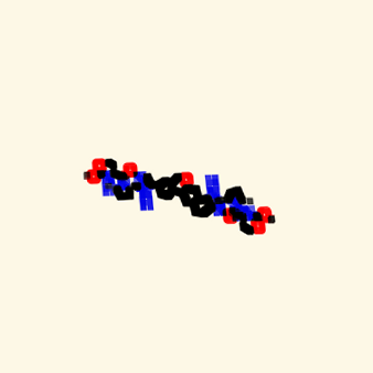 CC[C@H](NC(=O)OC)C(=O)N1[C@@H](C)CC[C@H]1c1ncc(-c2ccc3c(c2)COc2cc4c(ccc5nc([C@@H]6CC[C@H](C)N6C(=O)[C@H](CC)NC(=O)OC)[nH]c54)cc2-3)[nH]1